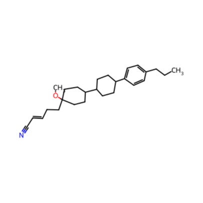 CCCc1ccc(C2CCC(C3CCC(CCC=CC#N)(OC)CC3)CC2)cc1